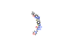 O=C(NCCN1CCOCC1)Nc1nc2ccc(Sc3nnc4ccc(OC5CCC5)nn34)cc2s1